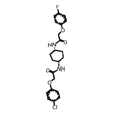 O=C(COc1ccc(F)cc1)N[C@H]1CC[C@H](NC(=O)COc2ccc(Cl)cc2)CC1